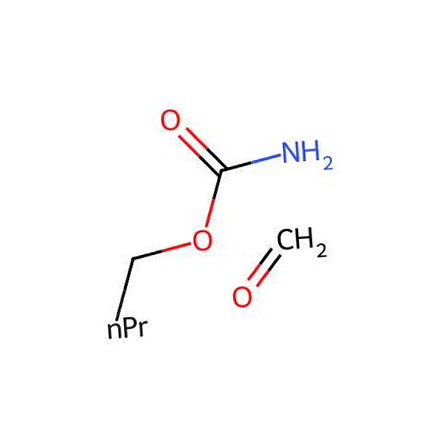 C=O.CCCCOC(N)=O